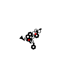 CCOC(=O)c1cccc(Oc2c(OC)ccc3c2C24CCN(CC5CC5)C(C3)C23CC2CN(Cc5ccccc5)C(C3)C24)c1